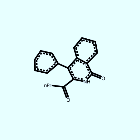 CCCC(=O)c1[nH]c(=O)c2ccccc2c1-c1ccccc1